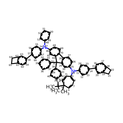 CC(C)(C)C1(C)C=CC=C(N(c2ccc(-c3ccc4c(c3)CC4)cc2)c2ccc3c(c2)C(c2ccccc2)(c2ccccc2)c2cc(N(c4ccccc4)c4ccc(-c5ccc6c(c5)CC6)cc4)ccc2-3)C=C1